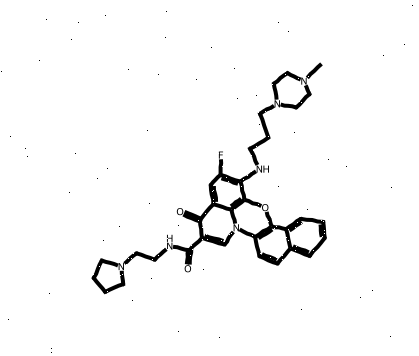 CN1CCN(CCCNc2c(F)cc3c(=O)c(C(=O)NCCN4CCCC4)cn4c3c2Oc2c-4ccc3ccccc23)CC1